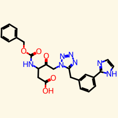 O=C(O)CC(NC(=O)OCc1ccccc1)C(=O)Cn1nnnc1Cc1cccc(-c2ncc[nH]2)c1